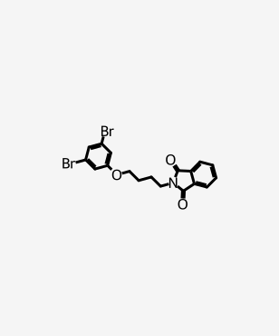 O=C1c2ccccc2C(=O)N1CCCCOc1cc(Br)cc(Br)c1